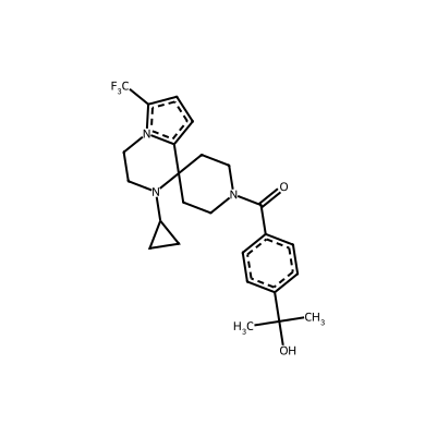 CC(C)(O)c1ccc(C(=O)N2CCC3(CC2)c2ccc(C(F)(F)F)n2CCN3C2CC2)cc1